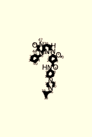 COc1cc(C(=O)N[C@H]2CC[C@H](N3CCN(CC4CC4)CC3)CC2)ccc1Nc1ccc2c(n1)N(Cc1ccccc1)[C@H](C)C(=O)N2C